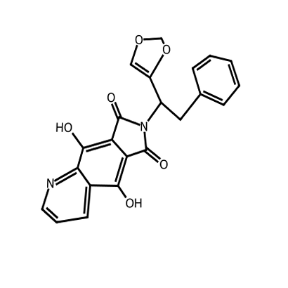 O=C1c2c(c(O)c3ncccc3c2O)C(=O)N1C(Cc1ccccc1)C1=COCO1